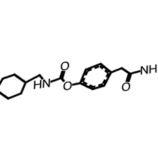 NC(=O)Cc1ccc(OC(=O)NCC2CCCCC2)cc1